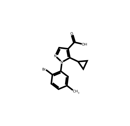 Cc1ccc(Br)c(-n2ncc(C(=O)O)c2C2CC2)c1